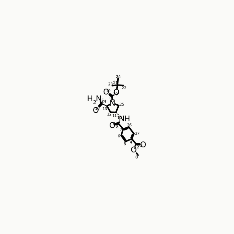 COC(=O)c1ccc(C(=O)N[C@@H]2C[C@@H](C(N)=O)N(C(=O)OC(C)(C)C)C2)cc1